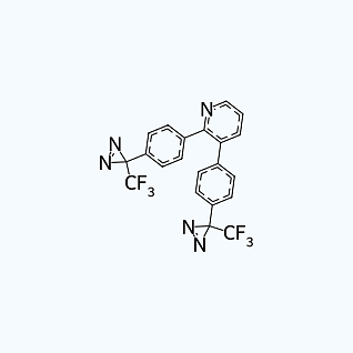 FC(F)(F)C1(c2ccc(-c3cccnc3-c3ccc(C4(C(F)(F)F)N=N4)cc3)cc2)N=N1